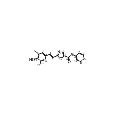 Cc1cc(/C=C/c2ncc(C(=O)SC3=CCCC=C3)o2)cc(C)c1O